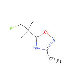 CCOC(=O)C1=NOC(C(C)(C)CF)N1